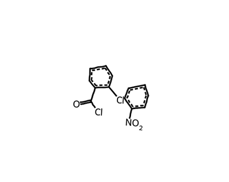 O=C(Cl)c1ccccc1Cl.O=[N+]([O-])c1ccccc1